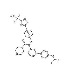 CC(F)(F)c1nc(C23CCC(CN(C(=O)C4CCOCC4)c4cccc(-c5ccc(OC(F)F)cc5)c4)(CC2)CC3)no1